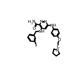 NC(=O)c1nnc(Nc2ccc(OCCN3CCCC3)cc2)cc1NCc1cccc(F)c1